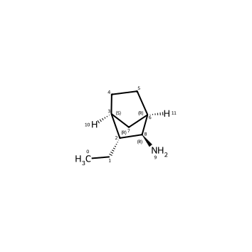 CC[C@@H]1[C@H]2CC[C@H](C2)[C@H]1N